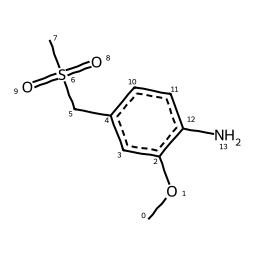 COc1cc(CS(C)(=O)=O)ccc1N